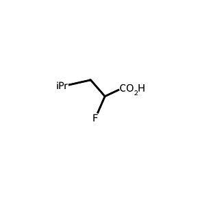 CC(C)CC(F)C(=O)O